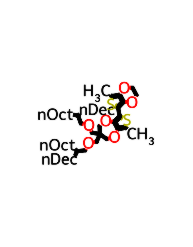 CCCCCCCCCCC(CCCCCCCC)COCC1(COCC(CCCCCCCC)CCCCCCCCCC)COc2c(C)sc(-c3sc(C)c4c3OCCO4)c2OC1